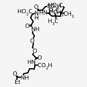 CCC(=O)NCCCCC(NC(=O)COCCOCCNC(=O)CCC(NC(=O)C(CS(=O)(=O)O)NC(=O)CC(C)(C)CC(C)(C)CC(=O)O)C(=O)O)C(=O)O